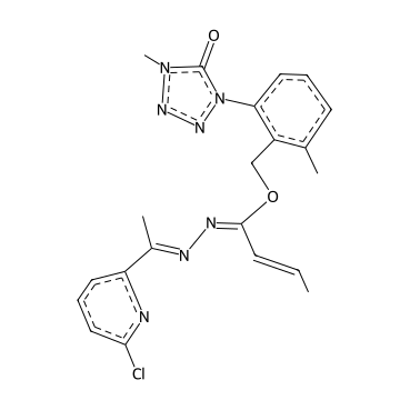 C/C=C/C(=N\N=C(/C)c1cccc(Cl)n1)OCc1c(C)cccc1-n1nnn(C)c1=O